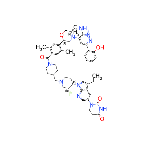 CCc1cn([C@H]2CCN(CC3CCN(C(=O)c4cc(C)c([C@@H]5CN(c6cc(-c7ccccc7O)nnc6N)[C@H](C)CO5)cc4C)CC3)C[C@H]2F)c2ncc(N3CCC(=O)NC3=O)cc12